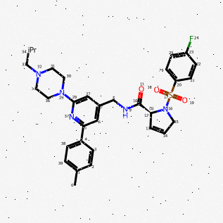 Cc1ccc(-c2cc(CNC(=O)[C@@H]3C=CCN3S(=O)(=O)c3ccc(F)cc3)cc(N3CCN(CC(C)C)CC3)n2)cc1